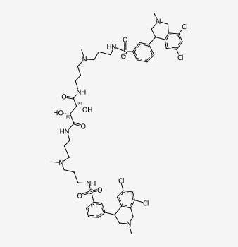 CN(CCCNC(=O)[C@H](O)[C@@H](O)C(=O)NCCCN(C)CCCNS(=O)(=O)c1cccc(C2CN(C)Cc3c(Cl)cc(Cl)cc32)c1)CCCNS(=O)(=O)c1cccc(C2CN(C)Cc3c(Cl)cc(Cl)cc32)c1